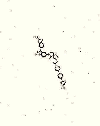 Cc1nc2cc(-c3n[nH]c4ccc(N5CCC6(CCN(CC(=O)N7CC=C(c8ccc(-c9ncn(C)n9)cc8)CC7)C6)C5=O)cc34)ccc2o1